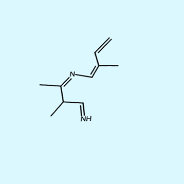 C=C/C(C)=C\N=C(\C)C(C)C=N